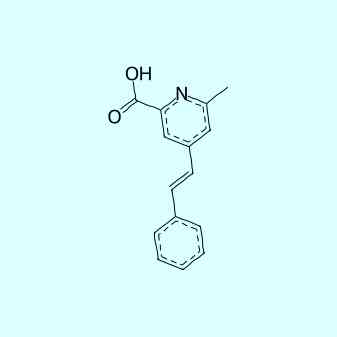 Cc1cc(C=Cc2ccccc2)cc(C(=O)O)n1